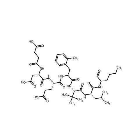 CCCC[C@@H](C=O)NC(=O)[C@H](CC(C)C)NC(=O)[C@@H](NC(=O)[C@H](Cc1ccccc1C)NC(=O)[C@H](CCC(=O)O)NC(=O)[C@H](CC(=O)O)NC(=O)CCC(=O)O)C(C)(C)C